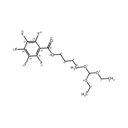 CCOC(OCC)O[SiH2]CCCOC(=O)c1c(F)c(F)c(F)c(F)c1F